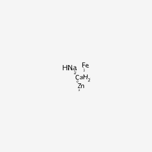 [CaH2].[Fe].[NaH].[Zn]